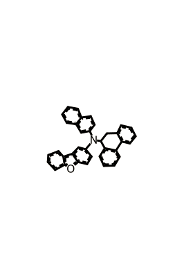 c1ccc2c(c1)CC(N(c1ccc3ccccc3c1)c1ccc3oc4ccccc4c3c1)c1ccccc1-2